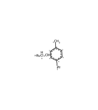 Cc1ccc(C(C)C)cc1.Cl.Cl.[Ru]